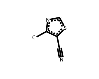 N#Cc1s[c]nc1Cl